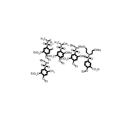 CCOC(=O)c1cc(S(=O)(=O)N(C)C)c(F)cc1OCC.CCOC(=O)c1cc(S(=O)(=O)N(C)C)c(OC)cc1OCC.CCOC(=O)c1cc(S(=O)(=O)NC(C)(C)C)c(C)cc1OCC.CCOC(=O)c1cc(S(=O)(=O)NC(C)(C)C)c(OC)cc1OCC.CCOc1ccc(S(=O)(=O)N(CCOC)CCOC)cc1C(=O)O